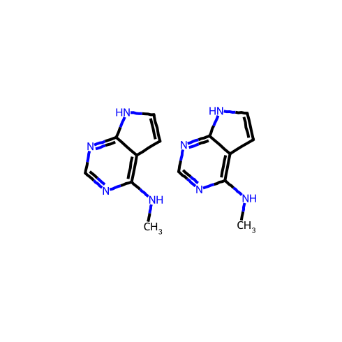 CNc1ncnc2[nH]ccc12.CNc1ncnc2[nH]ccc12